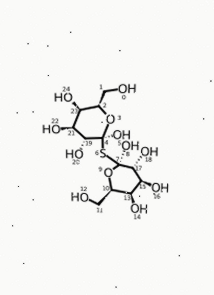 OC[C@H]1O[C@@](O)(S[C@]2(O)O[C@H](CO)[C@H](O)[C@H](O)[C@H]2O)[C@H](O)[C@@H](O)[C@H]1O